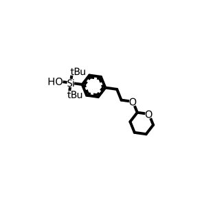 CC(C)(C)[Si](O)(c1ccc(CCOC2CCCCO2)cc1)C(C)(C)C